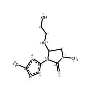 CN1CC(NCCO)N(c2nnc(C(F)(F)F)s2)C1=O